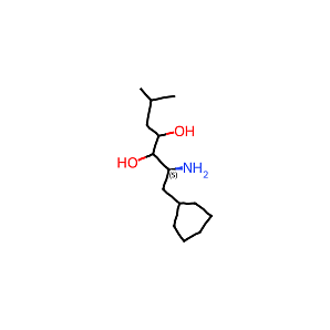 CC(C)CC(O)C(O)[C@@H](N)CC1CCCCC1